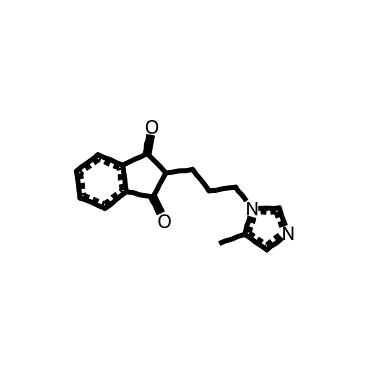 Cc1cncn1CCCC1C(=O)c2ccccc2C1=O